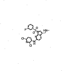 CNCc1cn(S(=O)(=O)c2cccc(F)c2)c2nc(Nc3ccc(Cl)nc3Cl)ccc12